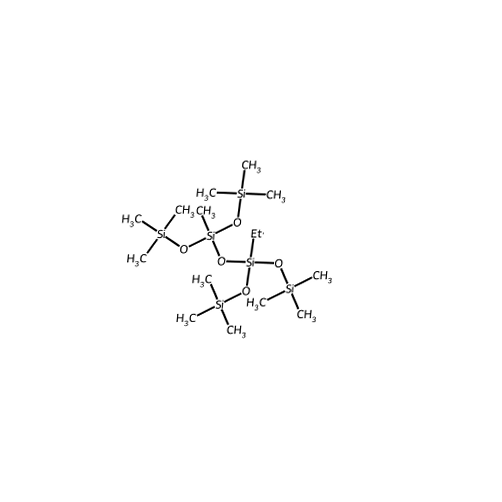 C[CH][Si](O[Si](C)(C)C)(O[Si](C)(C)C)O[Si](C)(O[Si](C)(C)C)O[Si](C)(C)C